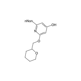 CCCCCCCCCc1cc(O)cc(OCC2CCCCO2)n1